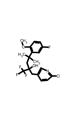 COc1ccc(F)cc1C(C)(C)CC(O)(Cc1ccc(Cl)nc1)C(F)(F)F